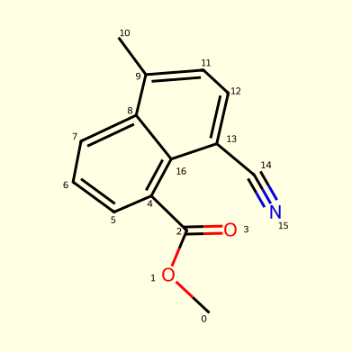 COC(=O)c1cccc2c(C)ccc(C#N)c12